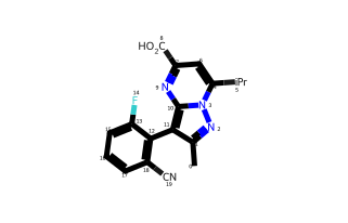 Cc1nn2c(C(C)C)cc(C(=O)O)nc2c1-c1c(F)cccc1C#N